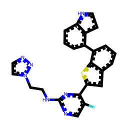 Fc1cnc(NCCn2ccnn2)nc1-c1cc2cccc(-c3cccc4[nH]ccc34)c2s1